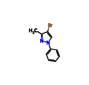 Cc1nn(-c2ccccc2)cc1Br